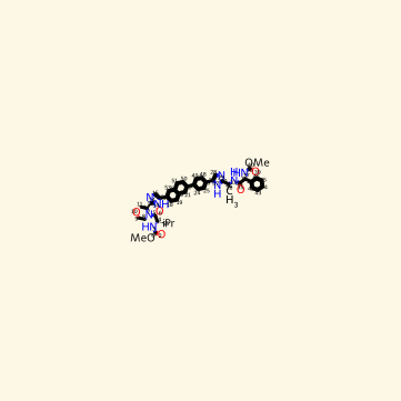 COC(=O)N[C@H](C(=O)N1CCOC[C@H]1c1ncc(-c2ccc3cc(-c4ccc(-c5cnc([C@H](C)NC(=O)[C@H](NC(=O)OC)c6ccccc6)[nH]5)cc4)ccc3c2)[nH]1)C(C)C